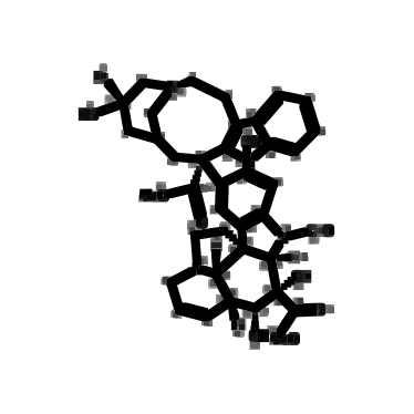 CC[C@]1(O)CC2C[N@](CCc3c([nH]c4ccccc34)[C@@](C(=O)OC)(c3cc4c(cc3OC)N(C=O)[C@H]3[C@@](O)(C(=O)OC)[C@H](O)[C@]5(CC)C=CCN6CC[C@]43[C@@H]65)C2)C1